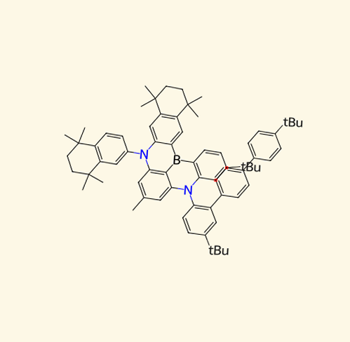 Cc1cc2c3c(c1)N(c1ccc(C(C)(C)C)cc1-c1ccc(-c4ccc(C(C)(C)C)cc4)cc1)c1cc(C(C)(C)C)ccc1B3c1cc3c(cc1N2c1ccc2c(c1)C(C)(C)CCC2(C)C)C(C)(C)CCC3(C)C